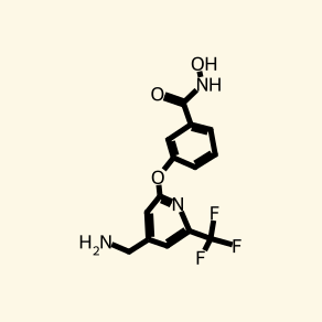 NCc1cc(Oc2cccc(C(=O)NO)c2)nc(C(F)(F)F)c1